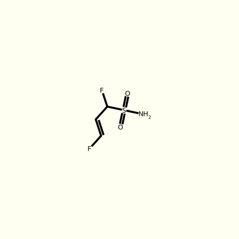 NS(=O)(=O)C(F)C=CF